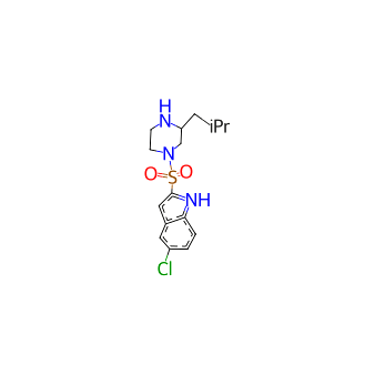 CC(C)CC1CN(S(=O)(=O)c2cc3cc(Cl)ccc3[nH]2)CCN1